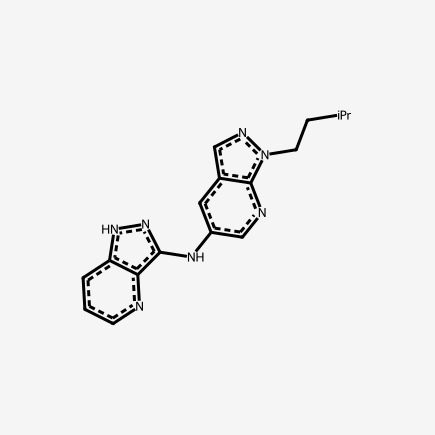 CC(C)CCn1ncc2cc(Nc3n[nH]c4cccnc34)cnc21